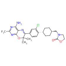 CC1(C)Oc2nc(C(F)(F)F)nc(N)c2N=C1c1ccc([C@H]2CC[C@H](CN3CCOC3=O)CC2)c(Cl)c1